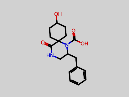 O=C(O)N1C(Cc2ccccc2)CNC(=O)C12CCC(O)CC2